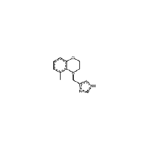 Cc1cccc2c1N(Cc1c[nH]cn1)CCO2